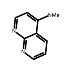 CNc1ccnc2ncccc12